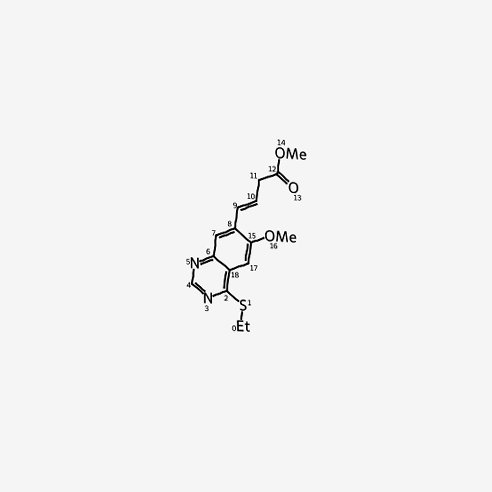 CCSc1ncnc2cc(C=CCC(=O)OC)c(OC)cc12